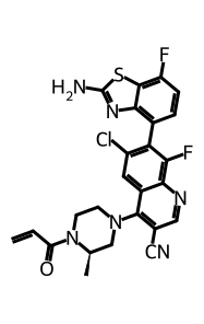 C=CC(=O)N1CCN(c2c(C#N)cnc3c(F)c(-c4ccc(F)c5sc(N)nc45)c(Cl)cc23)C[C@H]1C